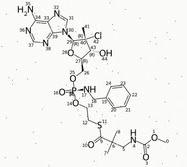 COC(=O)NCC(C)(C)C(=O)SCCO[P@@](=O)(NCc1ccccc1)OC[C@H]1O[C@@H](n2cnc3c(N)ncnc32)[C@](C)(Cl)[C@@H]1O